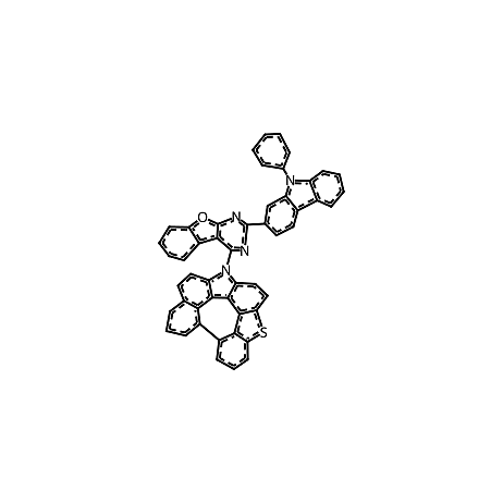 c1ccc(-n2c3ccccc3c3ccc(-c4nc(-n5c6ccc7cccc8c7c6c6c7c(ccc65)sc5cccc-8c57)c5c(n4)oc4ccccc45)cc32)cc1